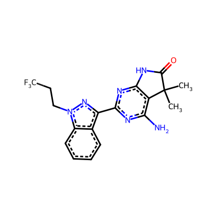 CC1(C)C(=O)Nc2nc(-c3nn(CCC(F)(F)F)c4ccccc34)nc(N)c21